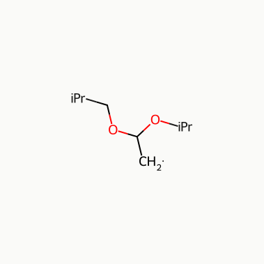 [CH2]C(OCC(C)C)OC(C)C